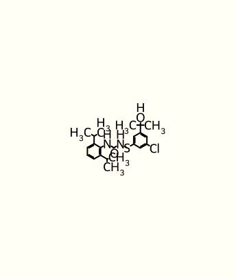 CC(C)c1cccc(C(C)C)c1NC(=O)NSc1cc(Cl)cc(C(C)(C)O)c1